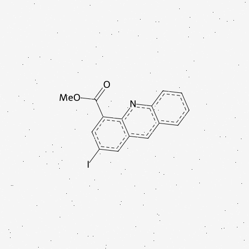 COC(=O)c1cc(I)cc2cc3ccccc3nc12